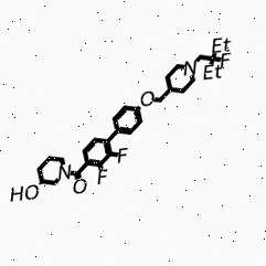 CCC(F)(CC)CN1CCC(COc2ccc(-c3ccc(C(=O)N4CCC[C@@H](O)C4)c(F)c3F)cc2)CC1